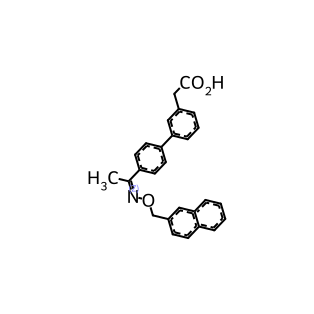 C/C(=N/OCc1ccc2ccccc2c1)c1ccc(-c2cccc(CC(=O)O)c2)cc1